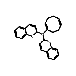 C1=CCC[C]([Pt]([CH]2C=Cc3ccccc3O2)[CH]2C=Cc3ccccc3O2)=CCC1